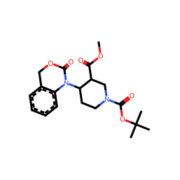 COC(=O)C1CN(C(=O)OC(C)(C)C)CCC1N1C(=O)OCc2ccccc21